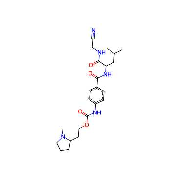 CC(C)CC(NC(=O)c1ccc(NC(=O)OCCC2CCCN2C)cc1)C(=O)NCC#N